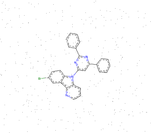 Brc1ccc2c(c1)c1ncccc1n2-c1cc(-c2ccccc2)nc(-c2ccccc2)n1